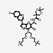 CC(NC(=O)C1(C)COC(C)(C)OC1)c1nc2c(-c3cnc4ccc(F)cc4c3)cnn2c(N(COCC[Si](C)(C)C)COCC[Si](C)(C)C)c1Br